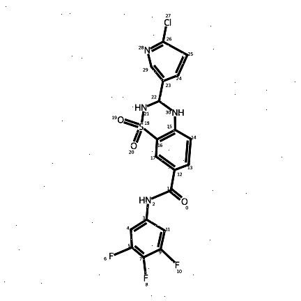 O=C(Nc1cc(F)c(F)c(F)c1)c1ccc2c(c1)S(=O)(=O)NC(c1ccc(Cl)nc1)N2